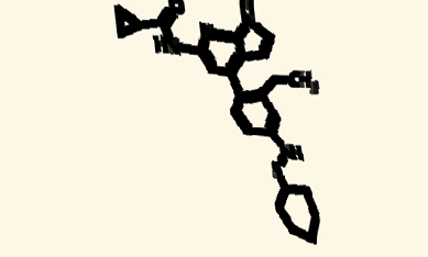 CCc1cc(NSC2CCCCC2)ccc1-c1cc(NC(=O)C2CC2)nc2[nH]ccc12